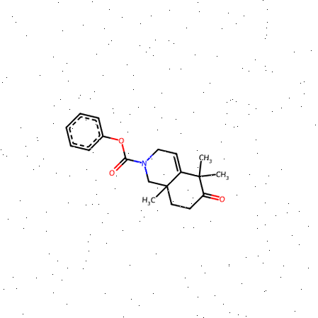 CC12CCC(=O)C(C)(C)C1=CCN(C(=O)Oc1ccccc1)C2